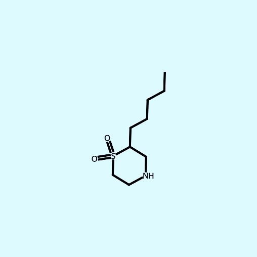 CCCCCC1CNCCS1(=O)=O